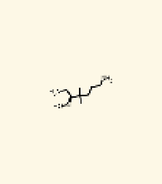 CC(C)(CCCN)C(CN)=NO